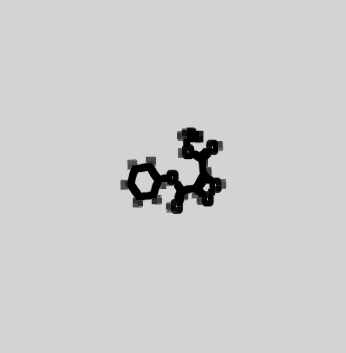 CC(C)(C)OC(=O)c1ooc1C(=O)OC1CCCCC1